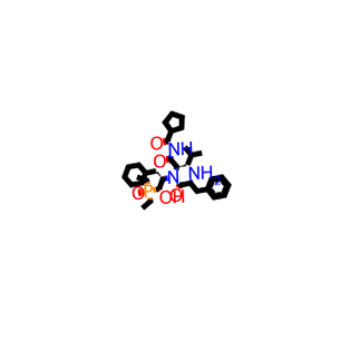 CCP(=O)(CC)C(O)[C@H](CC1CCCCC1)N(C(=O)[C@@H](N)Cc1ccccc1)[C@@H](CC(C)C)C(=O)NC(=O)C1CCCC1